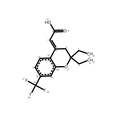 CCC1(CC)C/C(=C\C(=O)O)c2ccc(C(F)(F)F)cc2O1